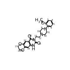 COc1ccccc1N1CCN(CCn2c(=O)[nH]c3cc4c(cc3c2=O)OCCO4)CC1